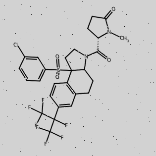 CN1C(=O)CC[C@H]1C(=O)N1CCC2(S(=O)(=O)c3cccc(Cl)c3)c3ccc(C(F)(C(F)(F)F)C(F)(F)F)cc3CCC12